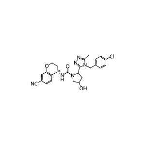 Cc1nnc(C2CC(O)CN2C(=O)N[C@H]2CCOc3cc(C#N)ccc32)n1Cc1ccc(Cl)cc1